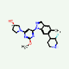 COc1nc(N2CC[C@@H](O)C2)cc(-n2ncc3cc(C)c(C4CCNCC4F)cc32)n1